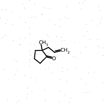 C=CCC1(C)CCCC1=O